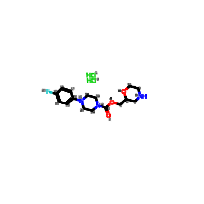 Cl.Cl.O=C(OCC1CNCCO1)N1CCN(c2ccc(F)cc2)CC1